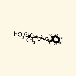 CC(OCCOCCOCc1ccccc1)C(=O)O